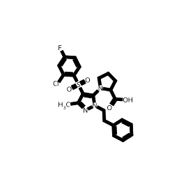 Cc1nn(CCc2ccccc2)c(N2CCCC2C(=O)O)c1S(=O)(=O)c1ccc(F)cc1Cl